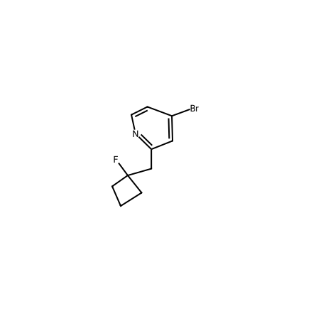 FC1(Cc2cc(Br)ccn2)CCC1